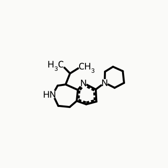 CC(C)C1CNCCc2ccc(N3CCCCC3)nc21